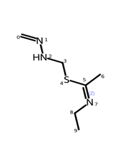 C=NNCS/C(C)=N\CC